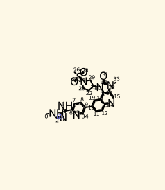 CN/C=N\C(=N)c1ccc(-c2ccc3ncc4c(c3c2)n(C2CCN(S(C)(=O)=O)C2)c(=O)n4C)cn1